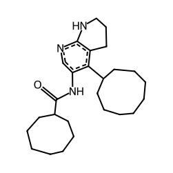 O=C(Nc1cnc2c(c1C1CCCCCCCC1)CCCN2)C1CCCCCCC1